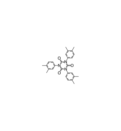 Cc1ccc(-n2c(=O)n(-c3ccc(C)c(C)c3)c(=O)n(-c3ccc(C)c(C)c3)c2=O)cc1C